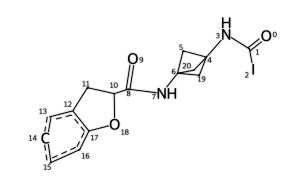 O=C(I)NC12CC(NC(=O)C3Cc4ccccc4O3)(C1)C2